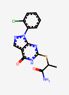 CC(Sc1nc2c(cnn2-c2ccccc2Cl)c(=O)[nH]1)C(N)=O